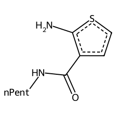 CCCCCNC(=O)c1ccsc1N